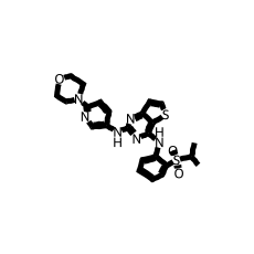 CC(C)S(=O)(=O)c1ccccc1Nc1nc(Nc2ccc(N3CCOCC3)nc2)nc2ccsc12